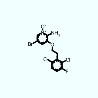 Nc1c(OCCc2c(Cl)ccc(F)c2Cl)cc(Br)c[n+]1[O-]